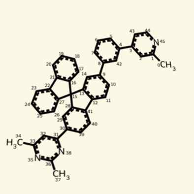 Cc1cc(-c2cccc(-c3ccc4c(c3)C3(c5ccccc5-c5ccccc53)c3cc(-c5cc(C)nc(C)n5)ccc3-4)c2)ccn1